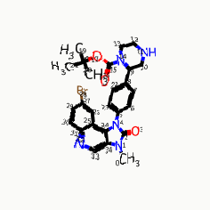 Cn1c(=O)n(-c2ccc(C3CNCCN3C(=O)OC(C)(C)C)cc2)c2c3cc(Br)ccc3ncc21